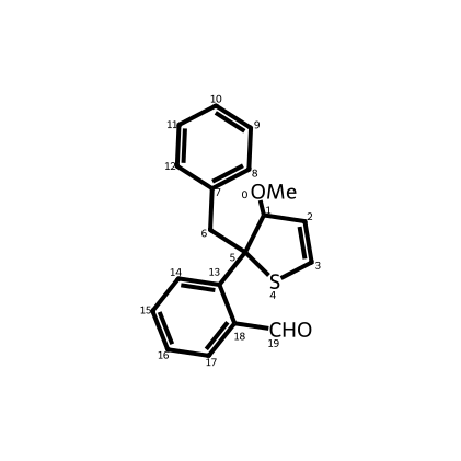 COC1C=CSC1(Cc1ccccc1)c1ccccc1C=O